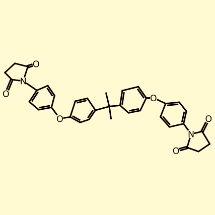 CC(C)(c1ccc(Oc2ccc(N3C(=O)CCC3=O)cc2)cc1)c1ccc(Oc2ccc(N3C(=O)CCC3=O)cc2)cc1